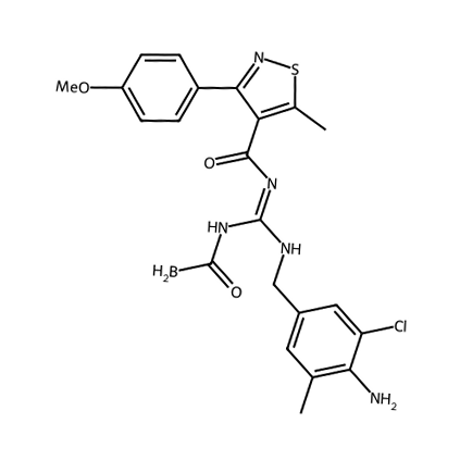 BC(=O)N/C(=N\C(=O)c1c(-c2ccc(OC)cc2)nsc1C)NCc1cc(C)c(N)c(Cl)c1